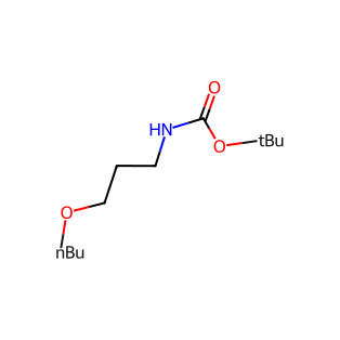 CCCCOCCCNC(=O)OC(C)(C)C